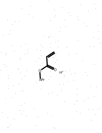 C=CC(=O)OCCC.[H+]